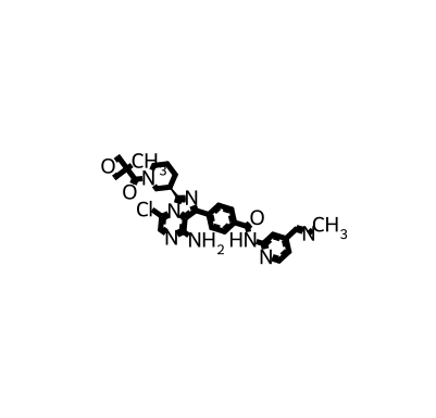 C/N=C/c1ccnc(NC(=O)c2ccc(-c3nc([C@@H]4CCCN(C(=O)C5(C)COC5)C4)n4c(Cl)cnc(N)c34)cc2)c1